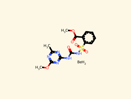 COC(=O)c1ccccc1S(=O)(=O)NC(=O)Nc1nc(C)nc(OC)n1.[BeH2]